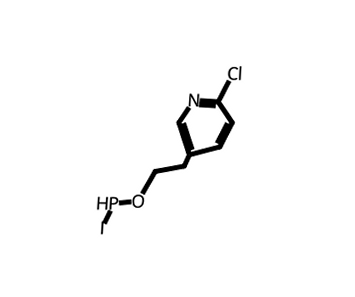 Clc1ccc(CCOPI)cn1